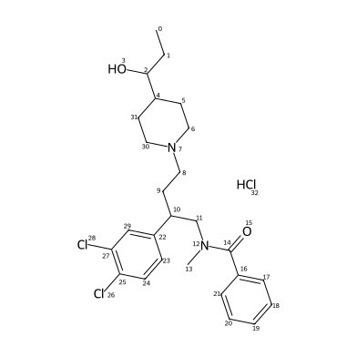 CCC(O)C1CCN(CCC(CN(C)C(=O)c2ccccc2)c2ccc(Cl)c(Cl)c2)CC1.Cl